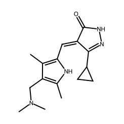 Cc1[nH]c(/C=C2/C(=O)NN=C2C2CC2)c(C)c1CN(C)C